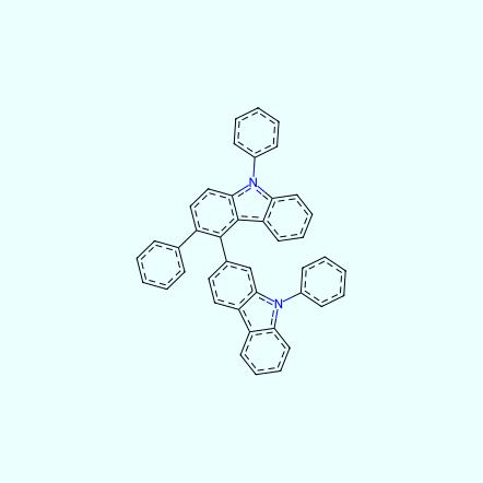 c1ccc(-c2ccc3c(c2-c2ccc4c5ccccc5n(-c5ccccc5)c4c2)c2ccccc2n3-c2ccccc2)cc1